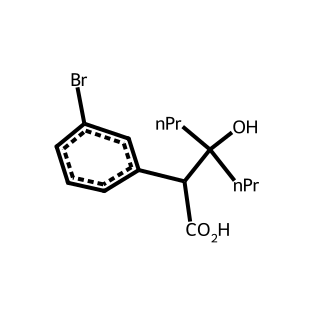 CCCC(O)(CCC)C(C(=O)O)c1cccc(Br)c1